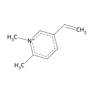 C=Cc1ccc(C)[n+](C)c1